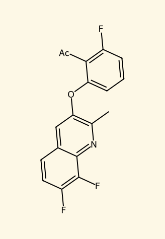 CC(=O)c1c(F)cccc1Oc1cc2ccc(F)c(F)c2nc1C